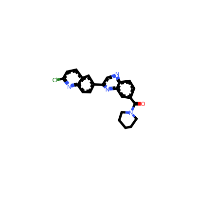 O=C(c1ccc2ncc(-c3ccc4nc(Cl)ccc4c3)nc2c1)N1CCCCC1